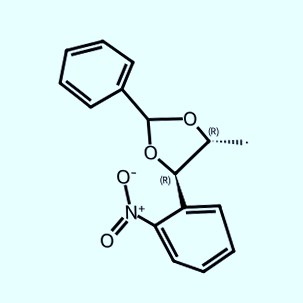 [CH2][C@H]1OC(c2ccccc2)O[C@@H]1c1ccccc1[N+](=O)[O-]